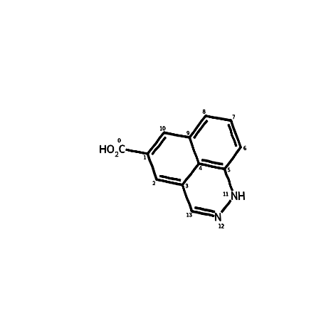 O=C(O)c1cc2c3c(cccc3c1)NN=C2